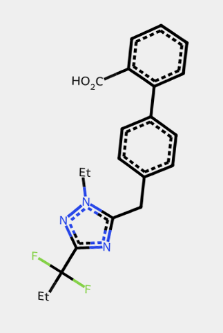 CCn1nc(C(F)(F)CC)nc1Cc1ccc(-c2ccccc2C(=O)O)cc1